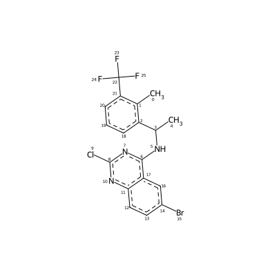 Cc1c(C(C)Nc2nc(Cl)nc3ccc(Br)cc23)cccc1C(F)(F)F